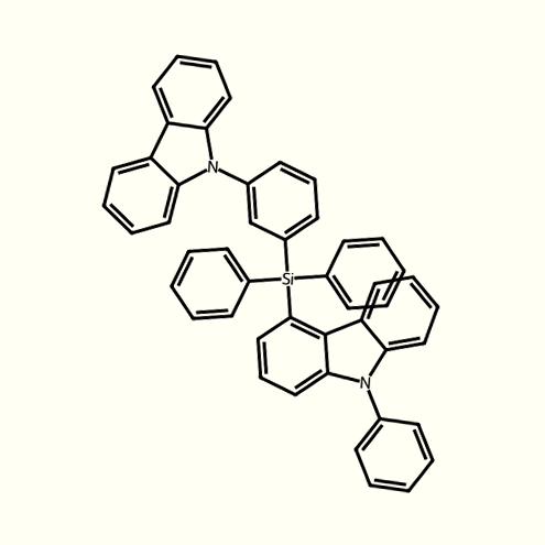 c1ccc(-n2c3ccccc3c3c([Si](c4ccccc4)(c4ccccc4)c4cccc(-n5c6ccccc6c6ccccc65)c4)cccc32)cc1